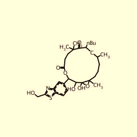 CCCCC1CC(C)CCCC2(C)OC2(O)C(O)C(c2ccc3sc(CO)nc3c2)OC(=O)CCC(C)(C)C1=O